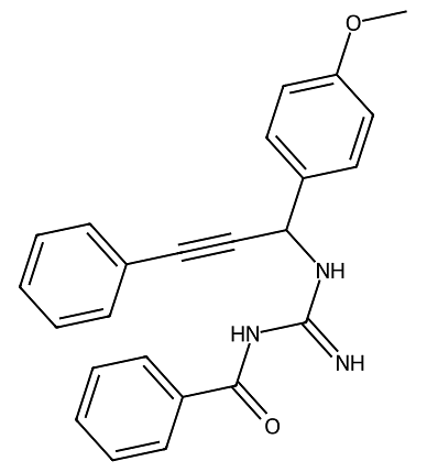 COc1ccc(C(C#Cc2ccccc2)NC(=N)NC(=O)c2ccccc2)cc1